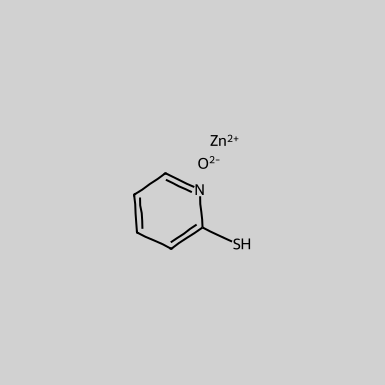 Sc1ccccn1.[O-2].[Zn+2]